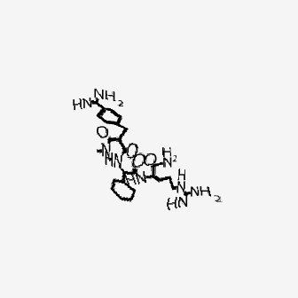 CN(C)C(=O)C(Cc1ccc(C(=N)N)cc1)C(=O)NC(C(=O)NC(CCCNC(=N)N)C(N)=O)C1CCCCC1